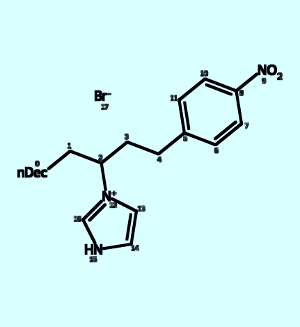 CCCCCCCCCCCC(CCc1ccc([N+](=O)[O-])cc1)[n+]1cc[nH]c1.[Br-]